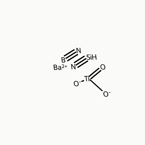 B#N.N#[SiH].[Ba+2].[O]=[Ti]([O-])[O-]